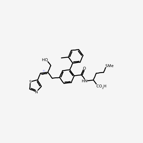 CSCCC(NC(=O)c1ccc(C/C(=C\c2cncs2)CO)cc1-c1ccccc1C)C(=O)O